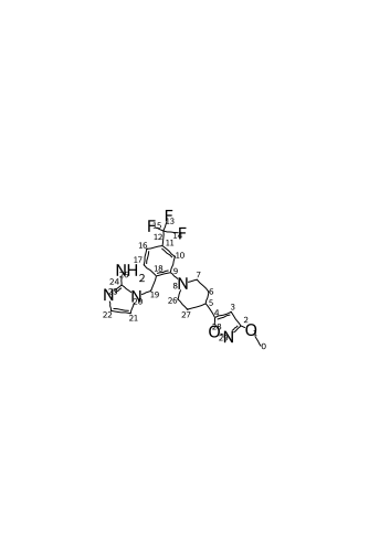 COc1cc(C2CCN(c3cc(C(F)(F)F)ccc3Cn3ccnc3N)CC2)on1